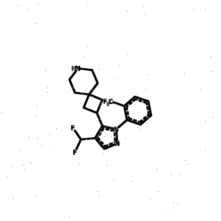 FC(F)c1cnn(-c2ccccc2C(F)(F)F)c1C1CC2(CCNCC2)C1